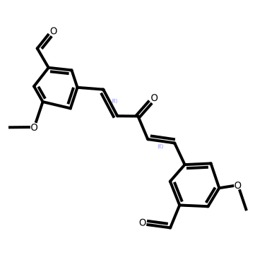 COc1cc(C=O)cc(/C=C/C(=O)/C=C/c2cc(C=O)cc(OC)c2)c1